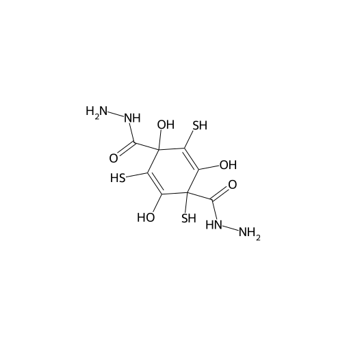 NNC(=O)C1(O)C(S)=C(O)C(S)(C(=O)NN)C(O)=C1S